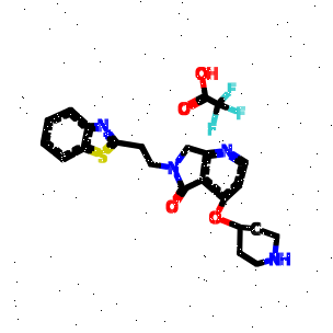 O=C(O)C(F)(F)F.O=C1c2c(OC3CCNCC3)ccnc2CN1CCc1nc2ccccc2s1